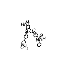 CN1CCC(C2CCN(C(=O)C(CC(=O)N3CCC(n4nc(-c5ccccc5)[nH]c4=O)CC3)Cc3ccc4[nH]ncc4c3)CC2)CC1